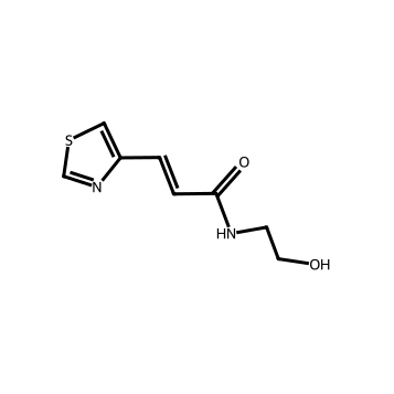 O=C(C=Cc1cscn1)NCCO